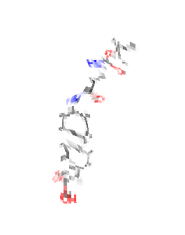 CC(C)(C)OC(=O)NCCC(=O)Nc1ccc([C@H]2CC[C@H](CC(=O)O)CC2)cc1